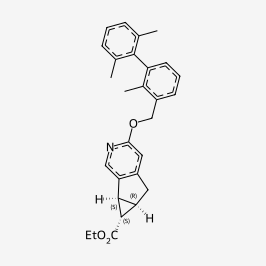 CCOC(=O)[C@H]1[C@@H]2Cc3cc(OCc4cccc(-c5c(C)cccc5C)c4C)ncc3[C@@H]21